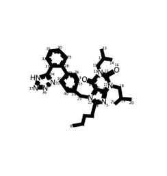 CCCCc1nc2c(c(=O)n(CC(C)C)c(=O)n2CC(C)C)n1Cc1ccc(-c2ccccc2-c2nnn[nH]2)cc1